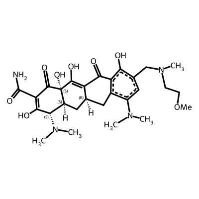 COCCN(C)Cc1cc(N(C)C)c2c(c1O)C(=O)C1=C(O)[C@]3(O)C(=O)C(C(N)=O)=C(O)[C@@H](N(C)C)[C@@H]3C[C@@H]1C2